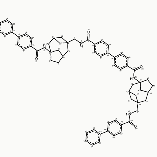 O=C(NCC12CC3CCC(NC(=O)c4ccc(-c5ccccc5)cc4)(C3)CC(C1)C2)c1ccc(-c2ccc(C(=O)NC34CCC(CC5(CNC(=O)c6ccc(-c7ccccc7)cc6)CC(C5)C3)C4)cc2)cc1